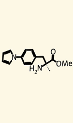 COC(=O)[C@@](C)(N)Cc1ccc(-n2cccc2)cc1